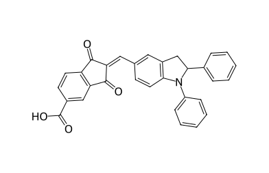 O=C(O)c1ccc2c(c1)C(=O)C(=Cc1ccc3c(c1)CC(c1ccccc1)N3c1ccccc1)C2=O